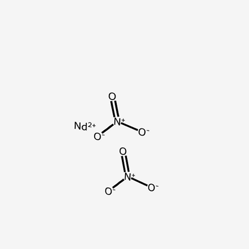 O=[N+]([O-])[O-].O=[N+]([O-])[O-].[Nd+2]